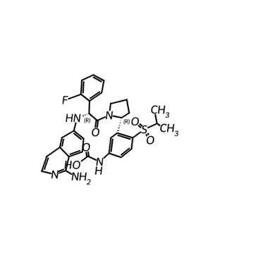 CC(C)S(=O)(=O)c1ccc(NC(=O)O)cc1[C@H]1CCCN1C(=O)[C@H](Nc1ccc2c(N)nccc2c1)c1ccccc1F